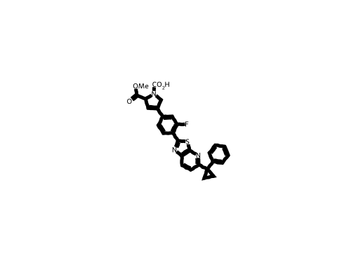 COC(=O)C1C=C(c2ccc(-c3nc4ccc(C5(c6ccccc6)CC5)nc4s3)c(F)c2)CN1C(=O)O